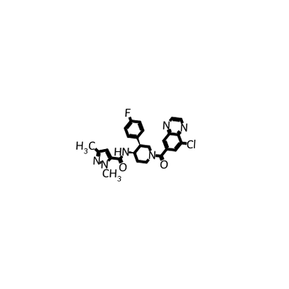 Cc1cc(C(=O)N[C@@H]2CCN(C(=O)c3cc(Cl)c4nccnc4c3)C[C@@H]2c2ccc(F)cc2)n(C)n1